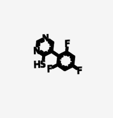 Fc1cc(F)c(-c2cncnc2S)c(F)c1